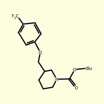 CC(C)(C)OC(=O)N1CCCC(COc2ccc(C(F)(F)F)cc2)C1